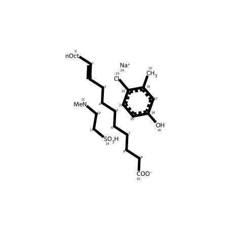 CCCCCCCCC=CCCCCCCCC(=O)[O-].CNCCS(=O)(=O)O.Cc1cc(O)ccc1Cl.[Na+]